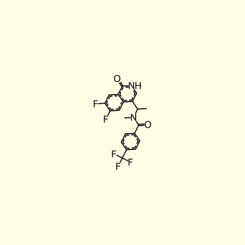 CC(c1c[nH]c(=O)c2cc(F)c(F)cc12)N(C)C(=O)c1ccc(C(F)(F)F)cc1